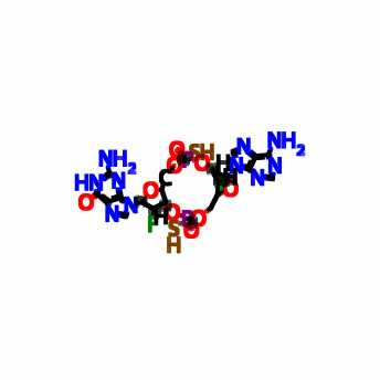 Nc1nc2c(ncn2[C@@H]2OC3CO[P@@](=O)(S)O[C@@H]4[C@H](F)C(CO[P@@](=O)(S)O[C@H]3[C@H]2F)O[C@H]4n2cnc3c(N)ncnc32)c(=O)[nH]1